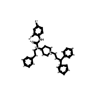 O=C(Nc1ccc(F)cc1F)N(CCc1ccccc1)C1CCN(CCC(c2ccccc2)c2ccccc2)CC1